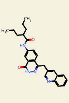 CCCC(CCC)C(=O)Nc1ccc2c(Cc3cnc4ccccc4c3)n[nH]c(=O)c2c1